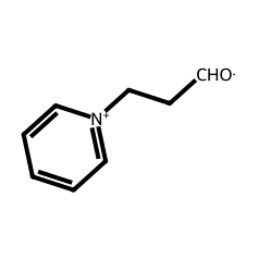 O=[C]CC[n+]1ccccc1